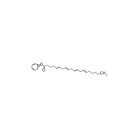 CCCCCC=CCC=CCC=CCC=CCCCC(=O)O[n+]1ccccc1